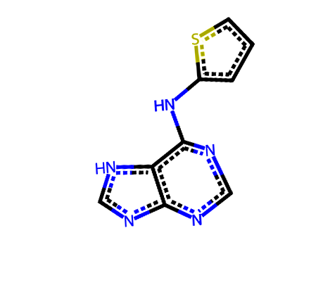 c1csc(Nc2ncnc3nc[nH]c23)c1